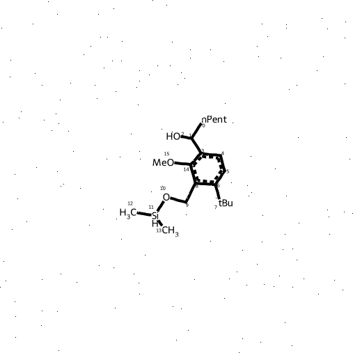 CCCCCC(O)c1ccc(C(C)(C)C)c(CO[SiH](C)C)c1OC